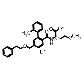 CSCC[C@H](NC(=O)c1ccc(COCCc2ccccc2)cc1-c1ccccc1C)C(=O)[O-].[Li+]